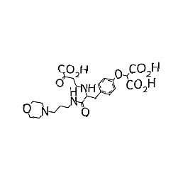 O=C(O)C(=O)CCNC(Cc1ccc(OC(C(=O)O)C(=O)O)cc1)C(=O)NCCCN1CCOCC1